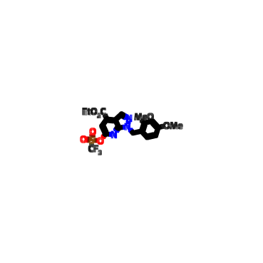 CCOC(=O)c1cc(OS(=O)(=O)C(F)(F)F)nc2c1cnn2Cc1ccc(OC)cc1OC